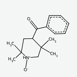 CC1(C)C[NH+]([O-])C(C)(C)CC1C(=O)c1ccccc1